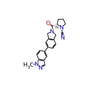 Cn1ncc2cc(-c3ccc4c(c3)CN(C(=O)[C@@H]3CCCN3C#N)C4)ccc21